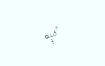 COC(=O)C1=C(C2CCc3nn([C@H]4C[C@@H](C(=O)O)C4)cc3C2)NC(c2nccs2)=NC1c1ccc(F)c(F)c1Cl